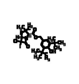 CC(C)(C)c1cc(COC(=O)[C@@H]2N3C(=O)C(Cl)(I)[C@H]3SC2(C)C)cc(C(C)(C)C)c1O